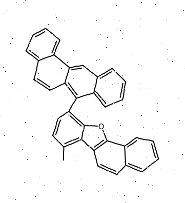 Cc1ccc(-c2c3ccccc3cc3c2ccc2ccccc23)c2oc3c4ccccc4ccc3c12